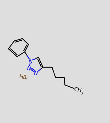 Br.CCCCCc1cn(-c2ccccc2)nn1